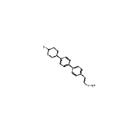 CCCCCCCC=Cc1ccc(-c2ccc(C3CCC(F)CC3)cc2)cc1